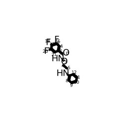 O=C(NOCCNc1ccccc1)c1cc(F)c(F)c(F)c1